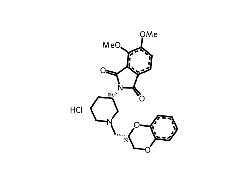 COc1ccc2c(c1OC)C(=O)N([C@H]1CCCN(C[C@H]3COc4ccccc4O3)C1)C2=O.Cl